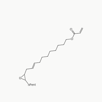 C=CC(=O)OCCCCCCCCC=CCC1OC1CCCCC